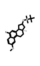 COc1ccc2c(F)cc3c(c2c1)CC[C@]1(C)CC(O[Si](C)(C)C(C)(C)C)CC31